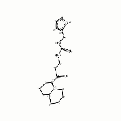 O=C(NCCC(=O)N1CCCC2CCCCC21)NCc1ccco1